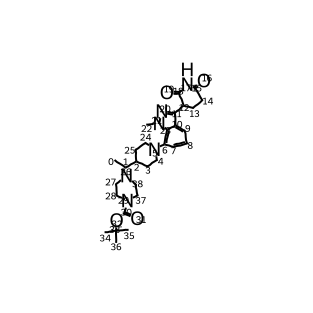 CC(C1CCN(c2cccc3c(C4CCC(=O)NC4=O)nn(C)c23)CC1)N1CCN(C(=O)OC(C)(C)C)CC1